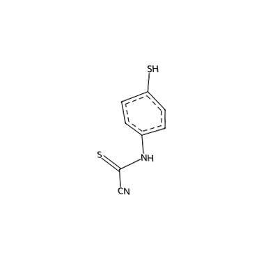 N#CC(=S)Nc1ccc(S)cc1